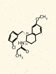 CCC(=O)N[C@H]1CCc2ccc(OC)cc2[C@H]1Cc1cccc(Cl)c1